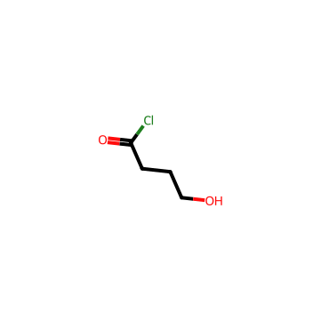 O=C(Cl)CCCO